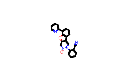 N#Cc1ccccc1N1C=C2c3cccc(-c4ccccn4)c3OC2C[N+]1=O